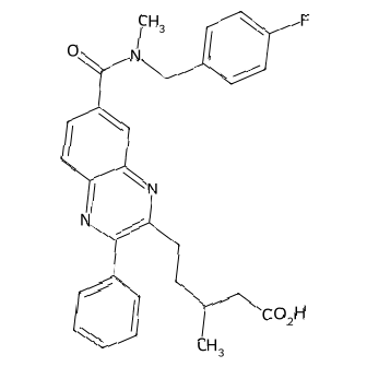 CC(CCc1nc2cc(C(=O)N(C)Cc3ccc(F)cc3)ccc2nc1-c1ccccc1)CC(=O)O